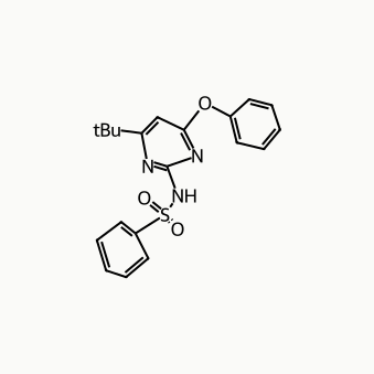 CC(C)(C)c1cc(Oc2ccccc2)nc(NS(=O)(=O)c2ccccc2)n1